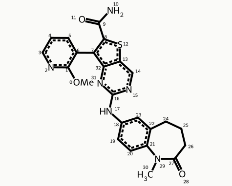 COc1ncccc1-c1c(C(N)=O)sc2cnc(Nc3ccc4c(c3)CCCC(=O)N4C)nc12